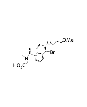 COCCCOc1ccc2c(C(=S)N(C)CC(=O)O)cccc2c1Br